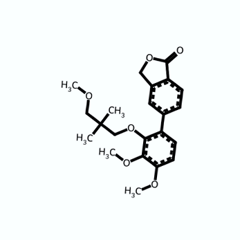 COCC(C)(C)COc1c(-c2ccc3c(c2)COC3=O)ccc(OC)c1OC